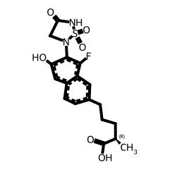 C[C@H](CCCc1ccc2cc(O)c(N3CC(=O)NS3(=O)=O)c(F)c2c1)C(=O)O